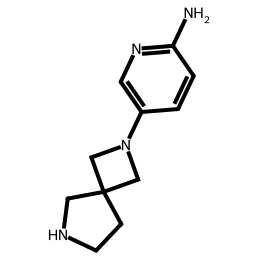 Nc1ccc(N2CC3(CCNC3)C2)cn1